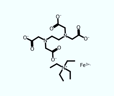 CC[N+](CC)(CC)CC.O=C([O-])CN(CCN(CC(=O)[O-])CC(=O)[O-])CC(=O)[O-].[Fe+3]